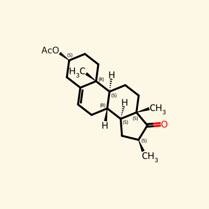 CC(=O)O[C@H]1CC[C@@]2(C)C(=CC[C@@H]3[C@@H]2CC[C@]2(C)C(=O)[C@@H](C)C[C@@H]32)C1